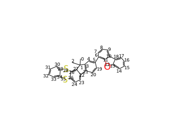 CC1(C)c2cc(-c3cccc4c3oc3ccccc34)ccc2-c2ccc3c(c21)Sc1ccccc1S3